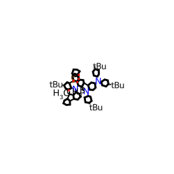 CC(C)(C)c1ccc(N2B3c4ccc5c(c4N(c4ccc(C(C)(C)C)cc4-c4ccccc4)c4c3c(cc3c4sc4ccccc43)-c3cc(N(c4ccc(C(C)(C)C)cc4)c4ccc(C(C)(C)C)cc4)ccc32)C(C)(C)c2ccccc2-5)cc1